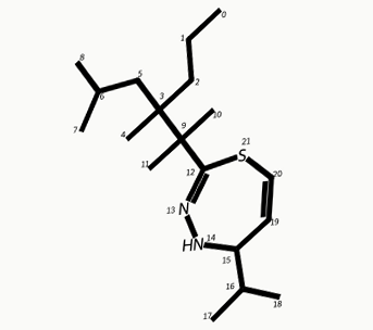 CCCC(C)(CC(C)C)C(C)(C)C1=NNC(C(C)C)C=CS1